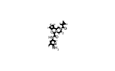 Cc1cc(NC(=O)C(=O)N2C[C@@H](C)N(C(=O)C3(C)CC3)CC2c2ccsc2)cnc1N